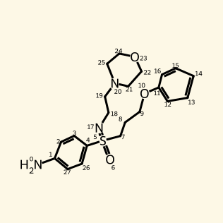 Nc1ccc(S(=O)(CCCOc2ccccc2)=NCCN2CCOCC2)cc1